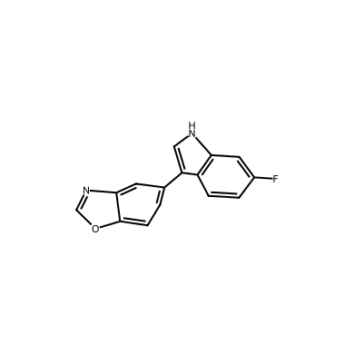 Fc1ccc2c(-c3ccc4ocnc4c3)c[nH]c2c1